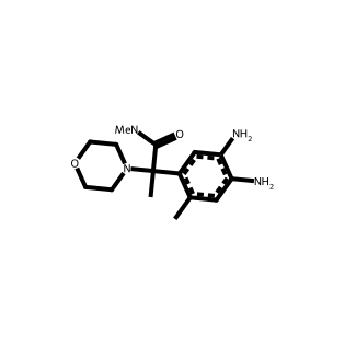 CNC(=O)C(C)(c1cc(N)c(N)cc1C)N1CCOCC1